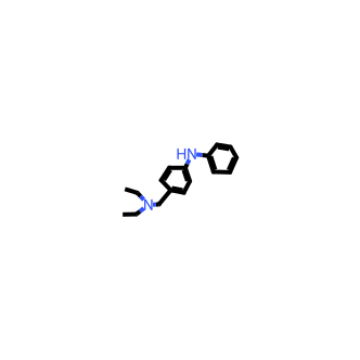 CCN(CC)Cc1ccc(Nc2ccccc2)cc1